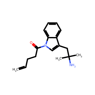 C=CCCC(=O)n1cc(CC(C)(C)N)c2ccccc21